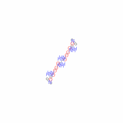 O=C(NCCCCNC(=O)NCCOCCOCCNC(=O)Nc1ccc(O[C@H]2c3ccccc3C[C@@H]2N2CCCCC2)cc1)NCCOCCOCCNC(=O)Nc1ccc(O[C@H]2c3ccccc3C[C@@H]2N2CCCCC2)cc1